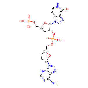 Nc1ncnc2c1ncn2[C@H]1CC[C@@H](COP(=O)(O)OC2C[C@@H](COP(=O)(O)O)O[C@H]2n2cnc3c(=O)[nH]ccc32)O1